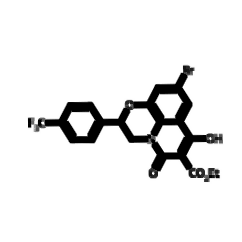 CCOC(=O)c1c(O)c2cc(Br)cc3c2n(c1=O)CC(c1ccc(C(F)(F)F)cc1)O3